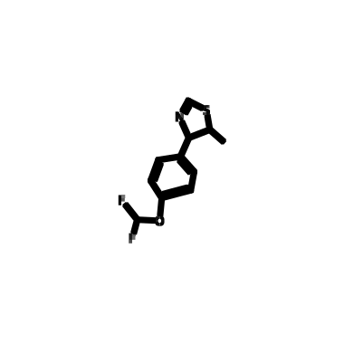 CC1SC=NC1c1ccc(OC(F)F)cc1